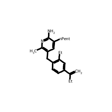 C=C(CC)c1ccc(Cc2cc(CCCCC)c(N)nc2C)c(CC)c1